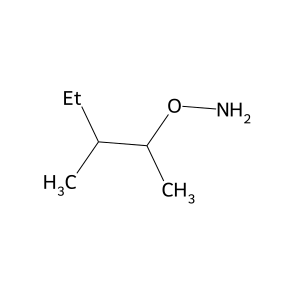 CCC(C)C(C)ON